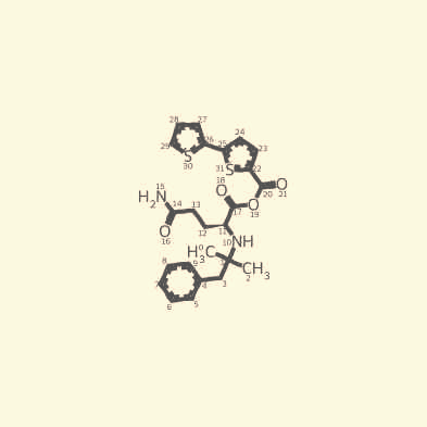 CC(C)(Cc1ccccc1)N[C@@H](CCC(N)=O)C(=O)OC(=O)c1ccc(-c2cccs2)s1